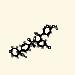 C=C/C=C\C(=C/C)C(=O)c1cc(Cl)ccc1NS(=O)(=O)c1ccc(C2(C)CCOCC2)cc1